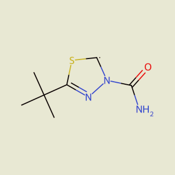 CC(C)(C)C1=NN(C(N)=O)[CH]S1